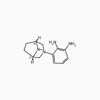 CN1[C@@H]2CC[C@H]1CN(c1cccc(N)c1N)C2